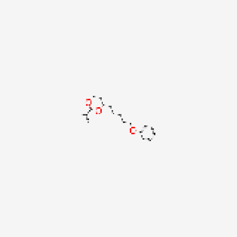 C=C(C)C(=O)OC(CC)CCCCCOc1cc[c]cc1